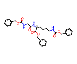 O=C(CNC(=O)OCc1ccccc1)N[C@@H](CCCCNC(=O)OCc1ccccc1)C(=O)OCc1ccccc1